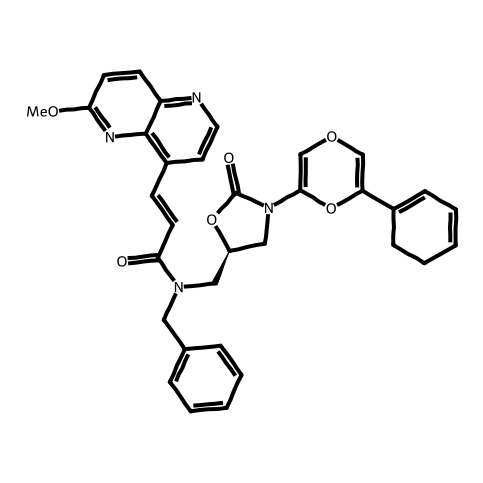 COc1ccc2nccc(/C=C/C(=O)N(Cc3ccccc3)C[C@@H]3CN(C4=COC=C(C5=CC=CCC5)O4)C(=O)O3)c2n1